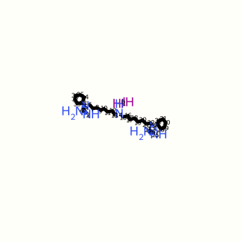 I.I.N=C(N)N(CCCCCCCCNCCCCCCCCN(C(=N)N)C1CCCCC1)C1CCCCC1